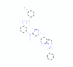 O=C(Nc1cccc(Nc2cc(-c3cnc4c(ccn4S(=O)(=O)c4ccccc4)c3)ncn2)c1)c1cccc([N+](=O)[O-])c1